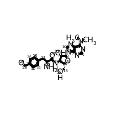 CN(C)c1ncnc2c1ncn2[C@@H]1O[C@H](CO)C(NC(=O)C(N)Cc2ccc(C=O)cc2)[C@@H]1O